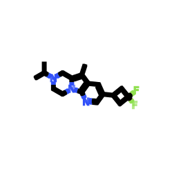 Cc1c2n(c3ncc(C4CC(F)(F)C4)cc13)CCN(C(C)C)C2